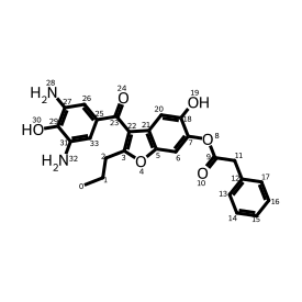 CCCc1oc2cc(OC(=O)Cc3ccccc3)c(O)cc2c1C(=O)c1cc(N)c(O)c(N)c1